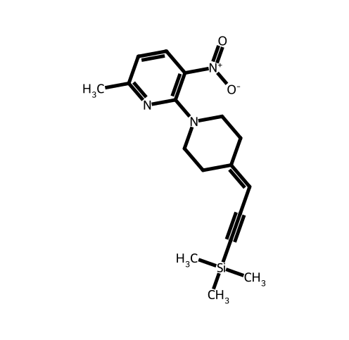 Cc1ccc([N+](=O)[O-])c(N2CCC(=CC#C[Si](C)(C)C)CC2)n1